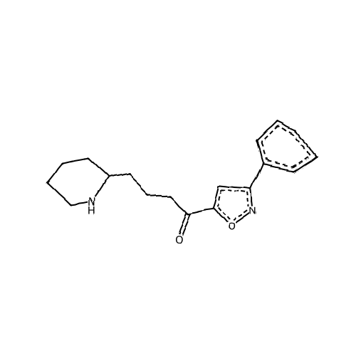 O=C(CCCC1CCCCN1)c1cc(-c2ccccc2)no1